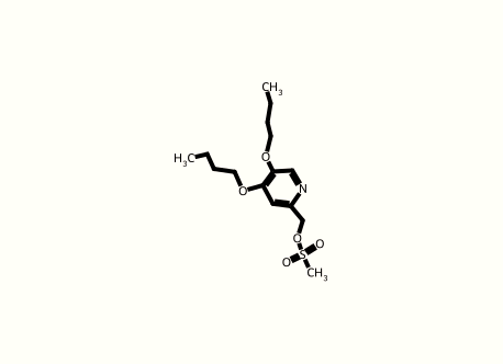 CCCCOc1cnc(COS(C)(=O)=O)cc1OCCCC